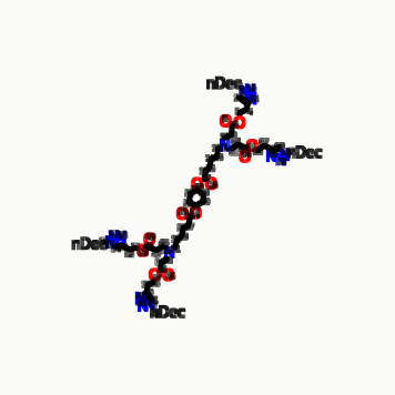 CCCCCCCCCCn1cc(CCOC(=O)CCN(CCCCCC(=O)O[C@H]2CC[C@H](OC(=O)CCCCCN(CCC(=O)OCCc3cn(CCCCCCCCCC)nn3)CCC(=O)OCCc3cn(CCCCCCCCCC)nn3)CC2)CCC(=O)OCCc2cn(CCCCCCCCCC)nn2)nn1